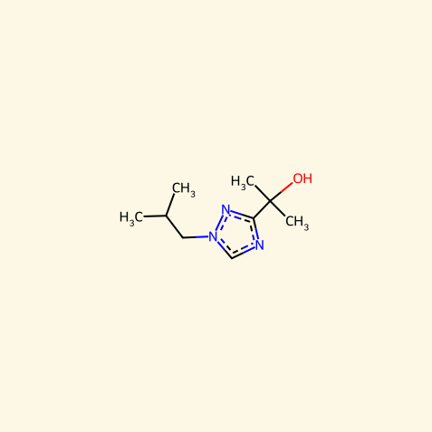 CC(C)Cn1cnc(C(C)(C)O)n1